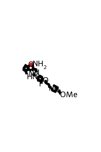 COCCN1CCN(CCCOc2ccc(Nc3ncc(C(N)=O)c(-c4c(C)cccc4C)n3)cc2F)CC1